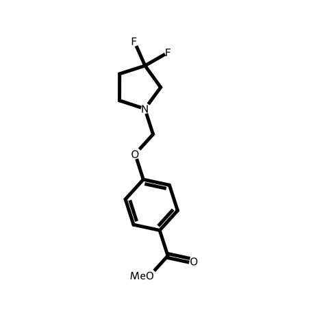 COC(=O)c1ccc(OCN2CCC(F)(F)C2)cc1